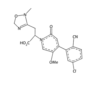 COc1cn(C(CC2=NCON2C)C(=O)O)c(=O)cc1-c1cc(Cl)ccc1C#N